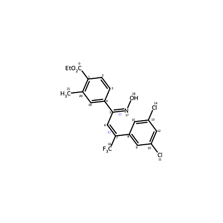 CCOC(=O)c1ccc(C(/C=C(\c2cc(Cl)cc(Cl)c2)C(F)(F)F)=N\O)cc1C